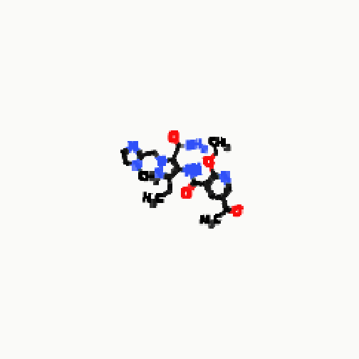 CCOc1ncc(C(C)=O)cc1C(=O)Nc1c(CC)nn(Cc2nccn2C)c1C(N)=O